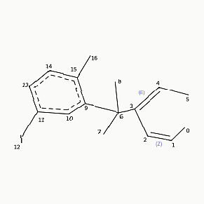 C/C=C\C(=C/C)C(C)(C)c1cc(I)ccc1C